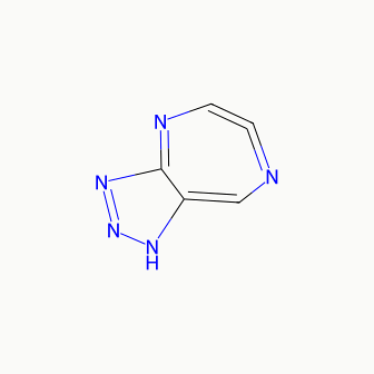 C1=CN=c2nn[nH]c2=CN=1